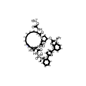 CC(C)n1c(O[C@@H]2C[C@H]3C(=O)N[C@]4(C(=O)NS(=O)(=O)N(C)C)C[C@H]4/C=C\CCCCC[C@H](NC(=O)OC(C)(C)C)C(=O)N3C2)nc2c(-c3nc(-c4ccccc4)cs3)cccc21